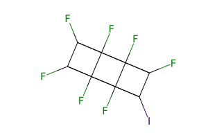 FC12C3(F)C4(F)C1(F)C1(F)C2(F)C3(F)C41I